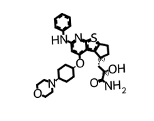 NC(=O)[C@H](O)C[C@H]1CCc2sc3nc(Nc4ccccc4)cc(O[C@H]4CC[C@H](N5CCOCC5)CC4)c3c21